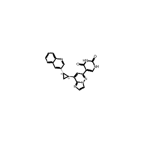 O=c1[nH]cc(-c2cc([C@H]3C[C@@H]3c3cnc4ccccc4c3)c3nccn3n2)c(=O)[nH]1